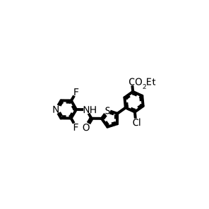 CCOC(=O)c1ccc(Cl)c(-c2ccc(C(=O)Nc3c(F)cncc3F)s2)c1